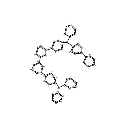 c1ccc(-c2ccc(N(c3ccccc3)c3ccc(-c4cccc(-c5cccc(-c6ccc(N(c7ccccc7)c7ccccc7)cc6)c5)c4)cc3)cc2)cc1